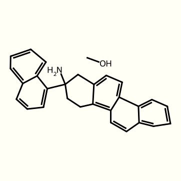 CO.NC1(c2cccc3ccccc23)CCc2c(ccc3c2ccc2ccccc23)C1